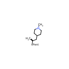 C=C(CCCCC)CC1CCN(C)CC1